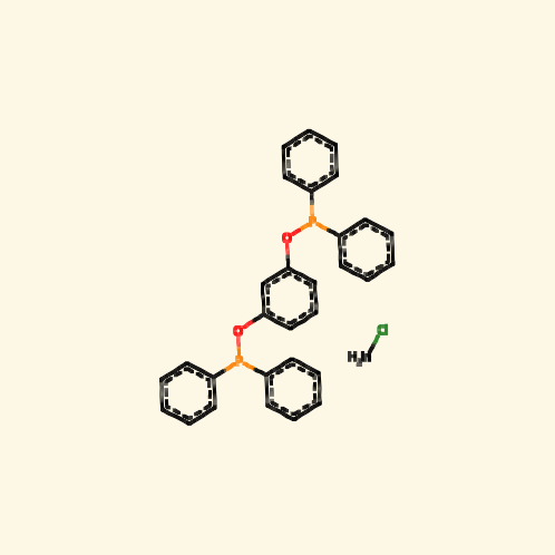 [Cl][InH2].c1ccc(P(Oc2cccc(OP(c3ccccc3)c3ccccc3)c2)c2ccccc2)cc1